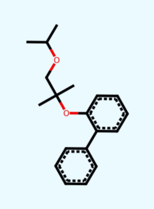 CC(C)OCC(C)(C)Oc1ccccc1-c1ccccc1